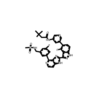 CC(C)(C)CC(=O)Nc1cncc(-c2ccc3[nH]nc(-c4nc5c(-c6cc(F)cc(CNS(C)(=O)=O)c6)nccc5[nH]4)c3c2F)c1